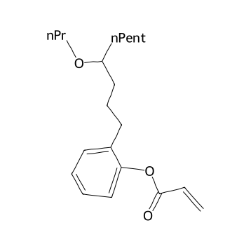 C=CC(=O)Oc1ccccc1CCCC(CCCCC)OCCC